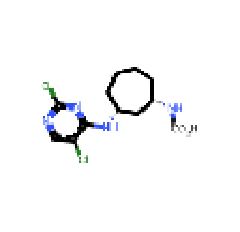 O=C(O)N[C@H]1CCCC[C@@H](Nc2nc(Cl)ncc2Cl)C1